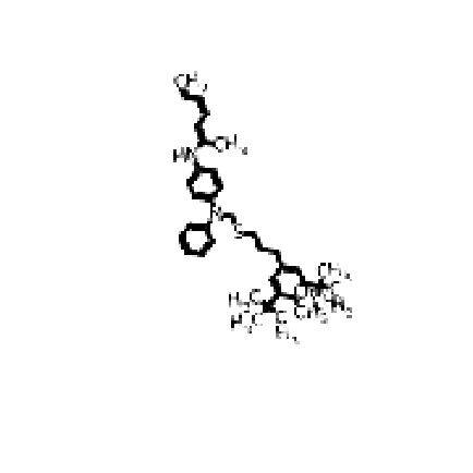 C=C/C=C\C=C(/C)Nc1ccc(N(CSCCCC(=C/CC(C)(C)C)/C=C(\C(C)O)C(C)(C)C)c2ccccc2)cc1